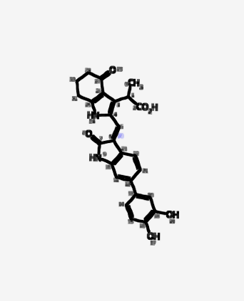 CC(C(=O)O)c1c(/C=C2\C(=O)Nc3cc(-c4ccc(O)c(O)c4)ccc32)[nH]c2c1C(=O)CCC2